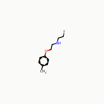 [CH2]c1ccc(OCCNCCF)cc1